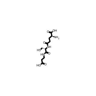 N[C@@H](CCC(=O)N[C@@H](CS)C(=O)NCCC(=O)O)C(=O)O